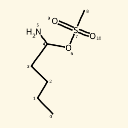 CCCCC(N)OS(C)(=O)=O